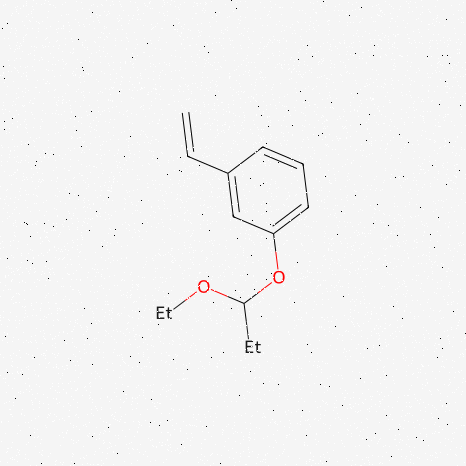 C=Cc1cccc(OC(CC)OCC)c1